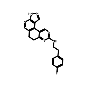 Fc1ccc(CCNc2ncc3c(n2)CCc2cnc4[nH]ncc4c2-3)cc1